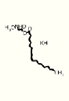 CCCCCCCC/C=C\CCCCCCCC(=O)OC(=O)CNC.[KH]